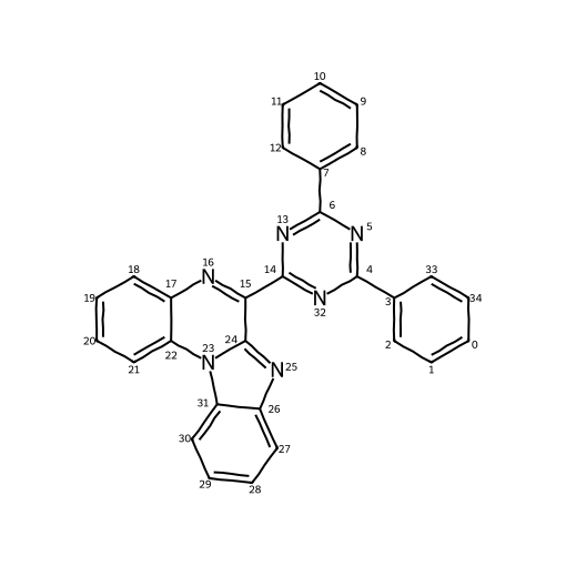 c1ccc(-c2nc(-c3ccccc3)nc(-c3nc4ccccc4n4c3nc3ccccc34)n2)cc1